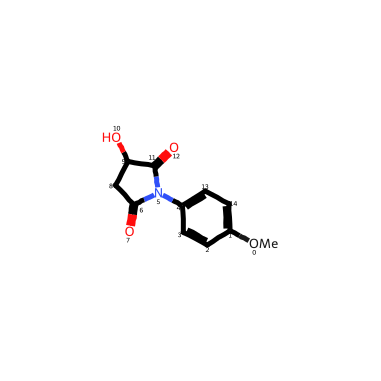 COc1ccc(N2C(=O)CC(O)C2=O)cc1